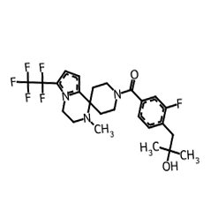 CN1CCn2c(ccc2C(F)(F)C(F)(F)F)C12CCN(C(=O)c1ccc(CC(C)(C)O)c(F)c1)CC2